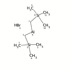 Br.C[Si](C)(C)[CH2][Al][CH2][Si](C)(C)C